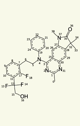 Cc1nc(N(CCc2cccc(C(F)(F)CO)c2F)c2ccccc2)c2cc3c(cc2n1)C(C)(C)C(=O)N3C